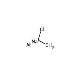 CCCl.[Al].[Na]